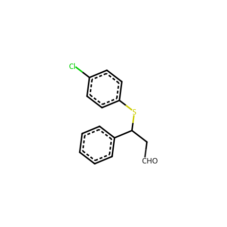 O=CCC(Sc1ccc(Cl)cc1)c1ccccc1